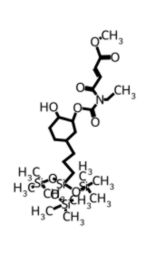 CCN(C(=O)C=CC(=O)OC)C(=O)OC1CC(CCC[Si](O[Si](C)(C)C)(O[Si](C)(C)C)O[Si](C)(C)C)CCC1O